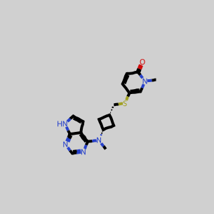 Cn1cc(SC[C@H]2C[C@@H](N(C)c3ncnc4[nH]ccc34)C2)ccc1=O